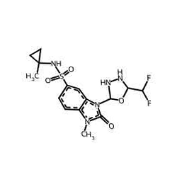 Cn1c(=O)n(C2NNC(C(F)F)O2)c2cc(S(=O)(=O)NC3(C)CC3)ccc21